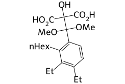 CCCCCCc1c(C(OC)(OC)C(O)(C(=O)O)C(=O)O)ccc(CC)c1CC